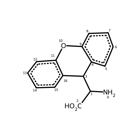 NC(C(=O)O)C1c2ccccc2Oc2ccccc21